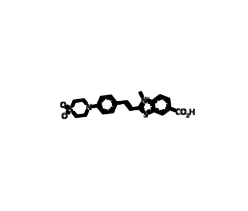 C[n+]1c(/C=C/c2ccc(N3CCS(=O)(=O)CC3)cc2)sc2cc(C(=O)O)ccc21